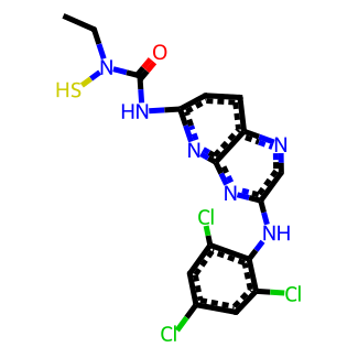 CCN(S)C(=O)Nc1ccc2ncc(Nc3c(Cl)cc(Cl)cc3Cl)nc2n1